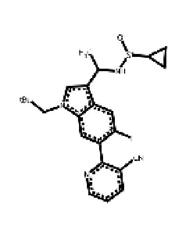 CC(N[S+]([O-])C1CC1)c1cn(CC(C)(C)C)c2cc(-c3ncccc3C#N)c(F)cc12